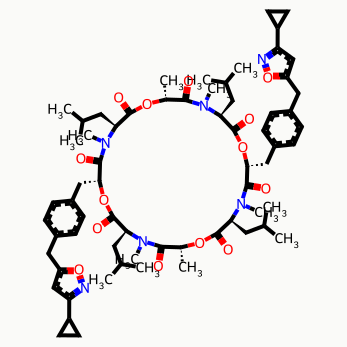 CC(C)C[C@H]1C(=O)O[C@H](Cc2ccc(Cc3cc(C4CC4)no3)cc2)C(=O)N(C)[C@@H](CC(C)C)C(=O)O[C@H](C)C(=O)N(C)[C@@H](CC(C)C)C(=O)O[C@H](Cc2ccc(Cc3cc(C4CC4)no3)cc2)C(=O)N(C)[C@@H](CC(C)C)C(=O)O[C@H](C)C(=O)N1C